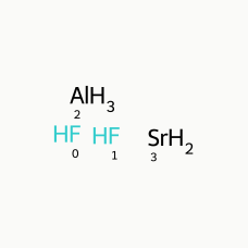 F.F.[AlH3].[SrH2]